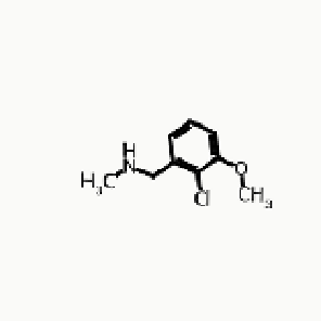 CNCc1cccc(OC)c1Cl